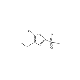 CCc1cc(S(C)(=O)=O)sc1Cl